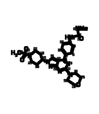 CNC(=O)Nc1ccc(-c2nc(N3CCOCC3)nc3nn(C4CCN(S(C)(=O)=O)CC4)cc23)cc1